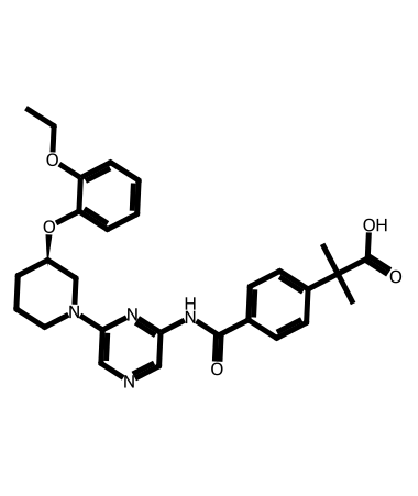 CCOc1ccccc1O[C@@H]1CCCN(c2cncc(NC(=O)c3ccc(C(C)(C)C(=O)O)cc3)n2)C1